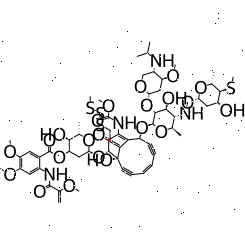 C=C(OC)C(=O)Nc1cc(OC)c(OC)cc1C(=O)OC1C[C@H](O[C@@H]2C(=O)C(NC(=O)OC)=C3/C(=C\CSSSC)[C@]2(O)C#C/C=C\C#C[C@@H]3O[C@@H]2O[C@H](C)[C@@H](NO[C@H]3C[C@H](O)[C@H](SC)[C@@H](C)O3)[C@H](O)[C@H]2O[C@H]2C[C@H](OC)[C@@H](NC(C)C)CO2)O[C@@H](C)[C@@H]1O